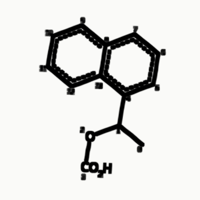 CC(OC(=O)O)c1cccc2ccccc12